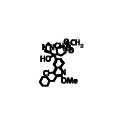 COc1nc2ccc(C(O)(c3cncn3C)C3CCN(S(C)(=O)=O)CC3)cc2c(Cl)c1CC1CCCCC1